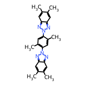 Cc1cc2nn(-c3cc(C)c(-n4nc5cc(C)c(C)cc5n4)cc3C)nc2cc1C